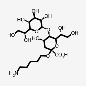 NCCCCCO[C@]1(C(=O)O)C[C@@H](O)[C@@H](O[C@H]2OC([C@@H](O)CO)[C@@H](O)C(O)[C@H]2O)C([C@H](O)CO)O1